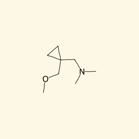 COCC1(CN(C)C)CC1